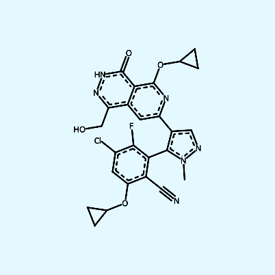 Cn1ncc(-c2cc3c(CO)n[nH]c(=O)c3c(OC3CC3)n2)c1-c1c(F)c(Cl)cc(OC2CC2)c1C#N